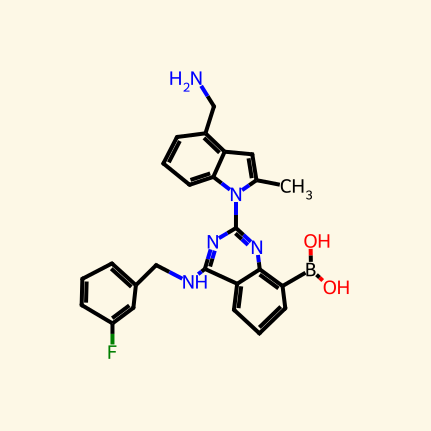 Cc1cc2c(CN)cccc2n1-c1nc(NCc2cccc(F)c2)c2cccc(B(O)O)c2n1